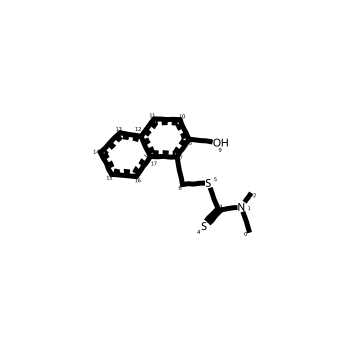 CN(C)C(=S)SCc1c(O)ccc2ccccc12